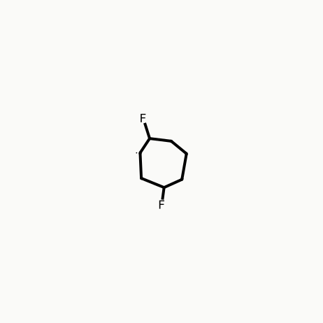 FC1[CH]CC(F)CCC1